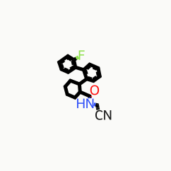 N#CCNC(=O)C1CCCCC1c1ccccc1-c1ccccc1F